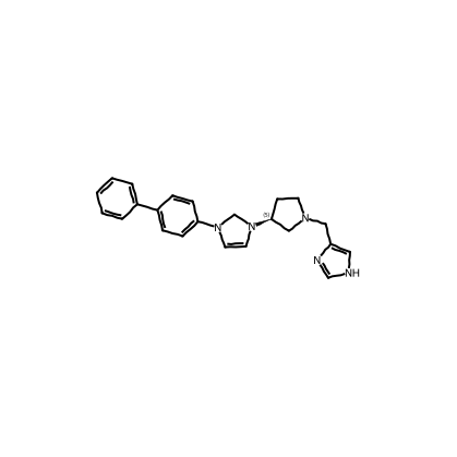 C1=CN([C@H]2CCN(Cc3c[nH]cn3)C2)CN1c1ccc(-c2ccccc2)cc1